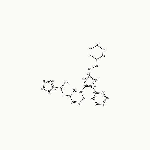 O=C(CN1C=CCC(c2cc(CCC3CCCCC3)nn2-c2ccccc2)=C1)c1cccs1